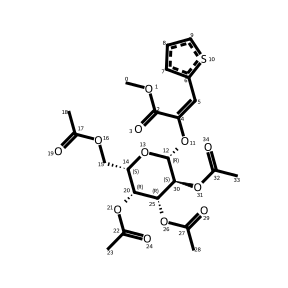 COC(=O)C(=Cc1cccs1)O[C@H]1O[C@@H](COC(C)=O)[C@@H](OC(C)=O)[C@@H](OC(C)=O)[C@@H]1OC(C)=O